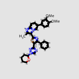 COc1ccc(-c2ccc3nc(C)c(-c4nc(-c5ccccc5)c(-c5ncn(C6CCCCO6)n5)s4)n3c2)cc1OC